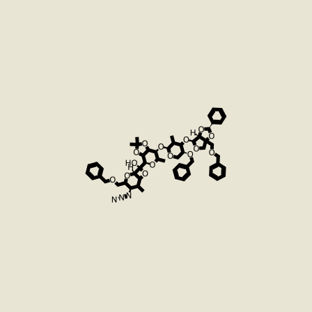 CC1C(O[C@@H]2OCC3(COCc4ccccc4)O[C@@H](c4ccccc4)O[C@H]23)[C@H](OCc2ccccc2)CO[C@H]1O[C@H]1C(C)O[C@@H]([C@]2(O)OC3C(C)[C@@H](N=[N+]=[N-])C(COCc4ccccc4)O[C@H]32)C2OC(C)(C)OC21